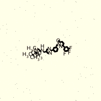 CN(CC(=O)NCc1cnc(-c2cccc(Cn3nc(-c4cc(F)c(F)c(F)c4)ccc3=O)c2)nc1)C(=O)OC(C)(C)C